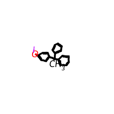 CC(c1ccccc1)(c1ccccc1)c1ccc(OI)cc1